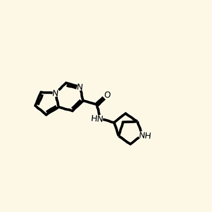 O=C(NC1CC2CC1CN2)c1cc2cccn2cn1